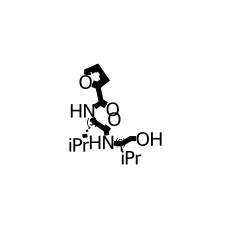 CC(C)C[C@H](NC(=O)c1ccco1)C(=O)N[C@H](CO)C(C)C